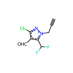 C#CCn1nc(Cl)c(C=O)c1C(F)F